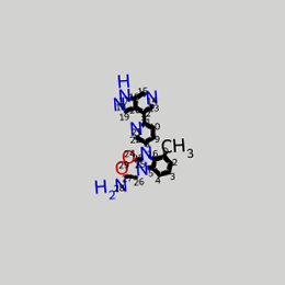 Cc1cccc2c1n(-c1ccc(-c3cncc4[nH]ncc34)nc1)c(=O)n2CC(N)=O